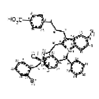 O=C(O)c1ccc(CCCc2c(CCNS(=O)(=O)Cc3ccccc3Br)n(C(c3ccccc3)c3ccccc3)c3ccc(Cl)cc23)cc1